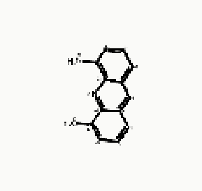 Nc1cccc2cc3cccc(O)c3nc12